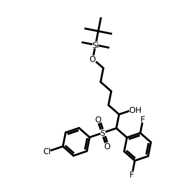 CC(C)(C)[Si](C)(C)OCCCCC(O)C(c1cc(F)ccc1F)S(=O)(=O)c1ccc(Cl)cc1